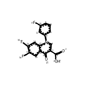 O=C(O)c1cn(-c2cccc(F)c2)c2cc(F)c(F)cc2c1=O